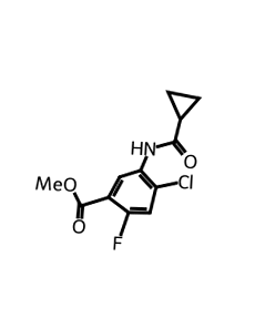 COC(=O)c1cc(NC(=O)C2CC2)c(Cl)cc1F